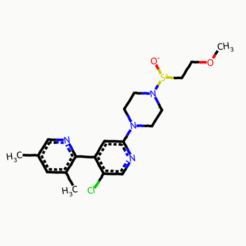 COCC[S+]([O-])N1CCN(c2cc(-c3ncc(C)cc3C)c(Cl)cn2)CC1